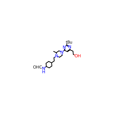 CC1CN(c2cc(CCO)nc(C(C)(C)C)n2)CCN1CCC1CCC(NC=O)CC1